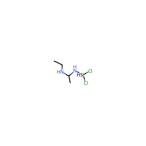 CCNC(C)N[SiH](Cl)Cl